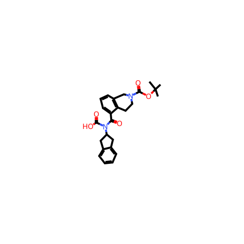 CC(C)(C)OC(=O)N1CCc2c(cccc2C(=O)N(C(=O)O)C2Cc3ccccc3C2)C1